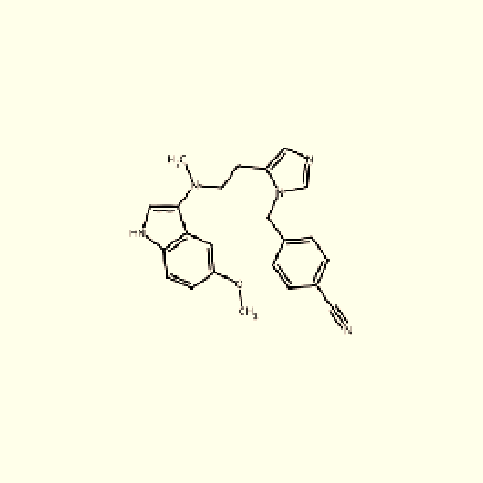 COc1ccc2[nH]cc(N(C)CCc3cncn3Cc3ccc(C#N)cc3)c2c1